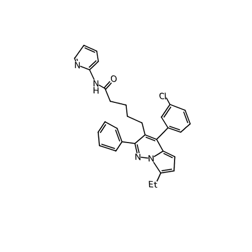 CCc1ccc2c(-c3cccc(Cl)c3)c(CCCCC(=O)Nc3ccccn3)c(-c3ccccc3)nn12